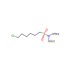 CCCCCCCCN(CCCCCC)S(=O)(=O)CCCCCCCl